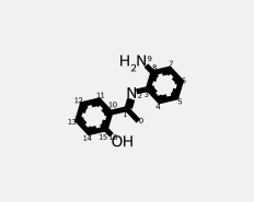 C/C(=N\c1ccccc1N)c1ccccc1O